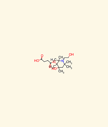 CC1(C)CC(C)(O)C(C)(OC(=O)CCC(=O)O)C(C)(C)N1CCO